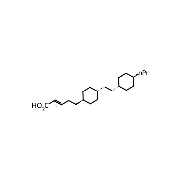 CCC[C@H]1CC[C@H](CC[C@H]2CC[C@H](CC/C=C/C(=O)O)CC2)CC1